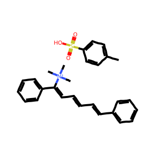 C[N+](C)(C)C(=CC=CC=Cc1ccccc1)c1ccccc1.Cc1ccc(S(=O)(=O)O)cc1